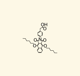 CCCCCCOc1c2c(c(OCCCCCC)c3ccccc13)C(=O)N(c1ccc(CC(=O)O)cc1)C2=O